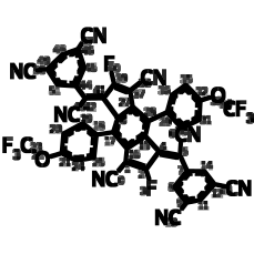 N#CC1=C(F)/C(=C(/C#N)c2cc(C#N)cc(C#N)c2)c2c1c(-c1ccc(OC(F)(F)F)cc1)c1c(c2-c2ccc(OC(F)(F)F)cc2)C(C#N)=C(F)/C1=C(/C#N)c1cc(C#N)cc(C#N)c1